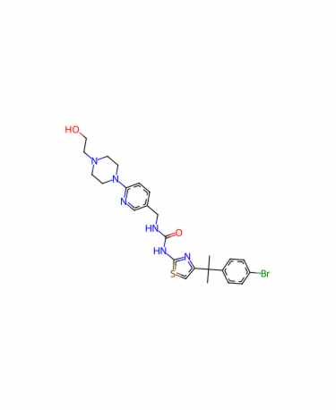 CC(C)(c1ccc(Br)cc1)c1csc(NC(=O)NCc2ccc(N3CCN(CCO)CC3)nc2)n1